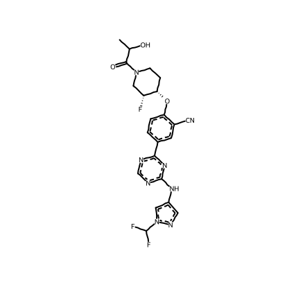 CC(O)C(=O)N1CC[C@H](Oc2ccc(-c3ncnc(Nc4cnn(C(F)F)c4)n3)cc2C#N)[C@H](F)C1